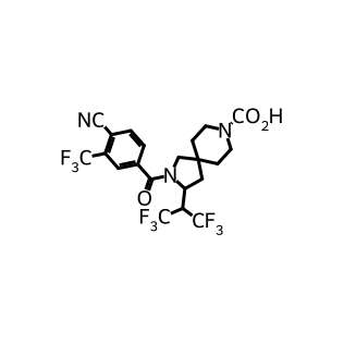 N#Cc1ccc(C(=O)N2CC3(CCN(C(=O)O)CC3)CC2C(C(F)(F)F)C(F)(F)F)cc1C(F)(F)F